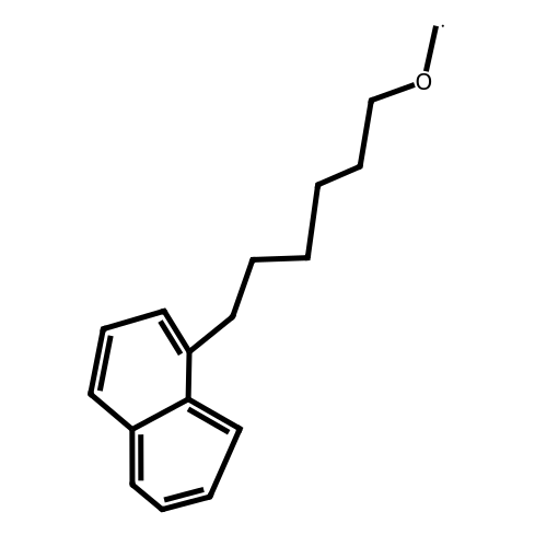 [CH2]OCCCCCCc1cccc2ccccc12